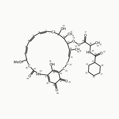 COC1\C=C/C=C\C=C/CC(O)C(C)C(OOC(=O)C(C)NC(=O)C2CCCCC2)/C(C)=C\CCC2=C(O)C(=CC(=O)C2=O)NC(=O)C1